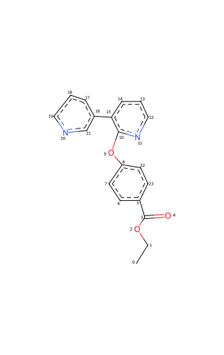 CCOC(=O)c1ccc(Oc2ncccc2-c2cccnc2)cc1